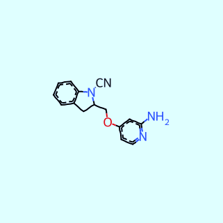 N#CN1c2ccccc2CC1COc1ccnc(N)c1